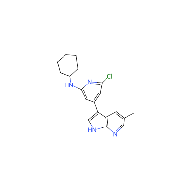 Cc1cnc2[nH]cc(-c3cc(Cl)nc(NC4CCCCC4)c3)c2c1